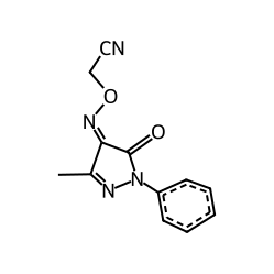 CC1=NN(c2ccccc2)C(=O)C1=NOCC#N